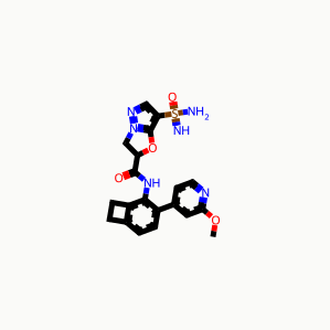 COc1cc(-c2ccc3c(c2NC(=O)C2Cn4ncc(S(=N)(N)=O)c4O2)CC3)ccn1